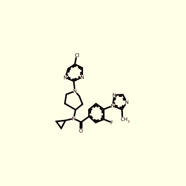 Cc1ncnn1-c1ccc(C(=O)N(C2CC2)C2CCN(c3ncc(Cl)cn3)CC2)cc1F